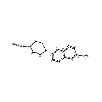 CCCCC[C@H]1CC[C@H](c2ccc3cc(CCCC)ccc3c2)CC1